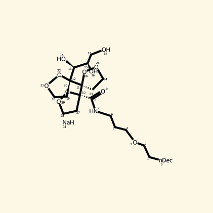 CCCCCCCCCCCCOCCCNC(=O)[C@]1([C@]2([C@]3([C@@H](O)[C@H](O)CO)CCOO3)CCOO2)CCOO1.[NaH]